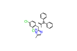 C=C(C)B(c1ccccc1)c1ccccc1.Cc1cnc(Cc2ccc(Cl)cc2Cl)[nH]1